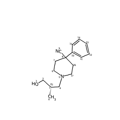 C[C@H](CO)CN1CCC(C#N)(c2ccccc2)CC1